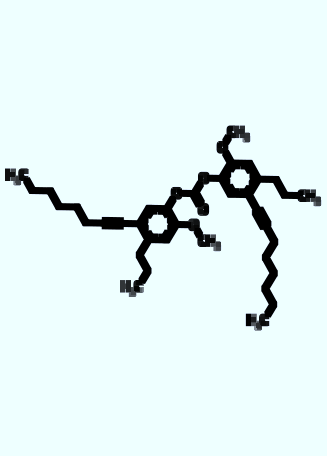 CCCCCCC#Cc1cc(OC(=O)Oc2cc(C#CCCCCCC)c(CCC)cc2OC)c(OC)cc1CCC